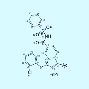 CCCc1c(C(C)=O)c2ccc(C(=O)NS(=O)(=O)c3ccccc3)cc2n1Cc1ccccc1Cl